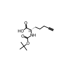 C#CCCC[C@H](NC(=O)OC(C)(C)C)C(=O)O